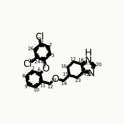 Clc1ccc(Oc2ccccc2COCC2CCc3[nH]cnc3C2)c(Cl)c1